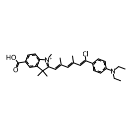 CCN(CC)c1ccc(/C(Cl)=C/C(C)=C/C(C)=C/C2=[N+](C)c3ccc(C(=O)O)cc3C2(C)C)cc1